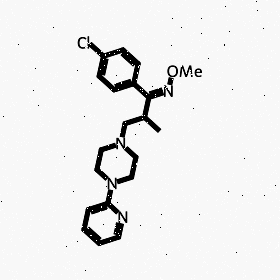 CO/N=C(\c1ccc(Cl)cc1)C(C)CN1CCN(c2ccccn2)CC1